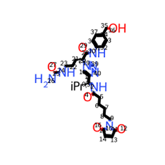 CC(C)[C@H](NC(=O)CCCCCN1C(=O)C=CC1=O)c1cn([C@@H](CCCNC(N)=O)C(=O)Nc2ccc(CO)cc2)nn1